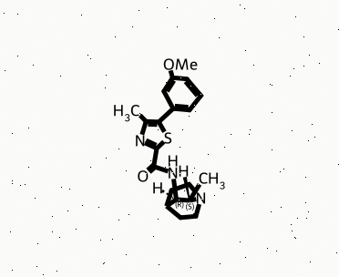 COc1cccc(-c2sc(C(=O)N[C@@H]3C4CCN(CC4)[C@H]3C)nc2C)c1